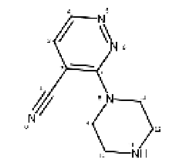 N#Cc1ccnnc1N1CCNCC1